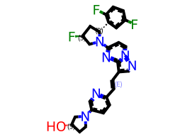 O[C@H]1CCN(c2ccc(/C=C/c3cnn4ccc(N5C[C@@H](F)C[C@@H]5c5cc(F)ccc5F)nc34)nc2)C1